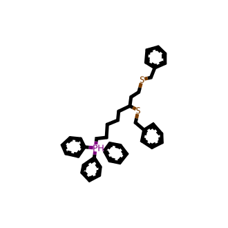 c1ccc(CSCCC(CCCCC[PH](c2ccccc2)(c2ccccc2)c2ccccc2)SCc2ccccc2)cc1